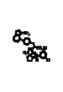 Cn1ccc2cccc(-c3ccc(CC(NC(=O)[C@]4(C)CCCN4S(=O)(=O)c4cc(Cl)cc(Cl)c4)C(=O)O)cc3)c21